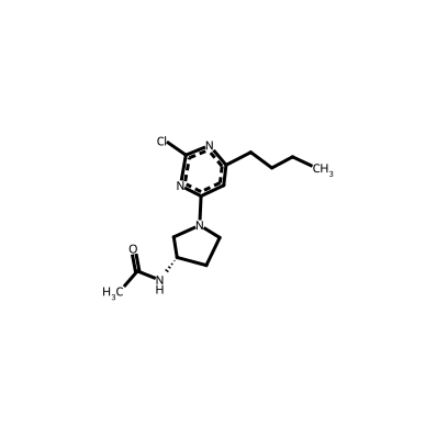 CCCCc1cc(N2CC[C@H](NC(C)=O)C2)nc(Cl)n1